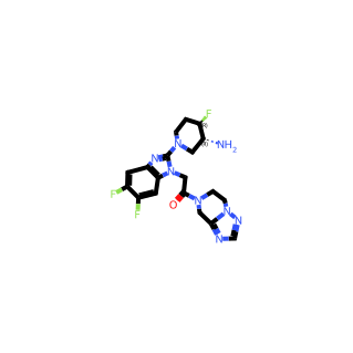 N[C@@H]1CN(c2nc3cc(F)c(F)cc3n2CC(=O)N2CCn3ncnc3C2)CC[C@H]1F